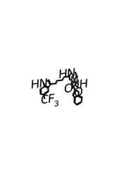 O=C(NN1CCNC(CCCCc2c[nH]c3ccc(C(F)(F)F)cc23)C1)c1cc2ccccc2o1